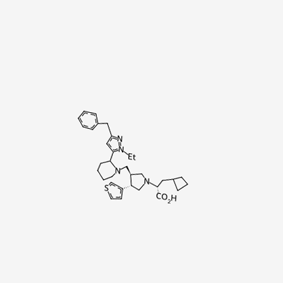 CCn1nc(Cc2ccccc2)cc1C1CCCCN1C[C@H]1CN([C@H](CC2CCC2)C(=O)O)C[C@@H]1c1ccsc1